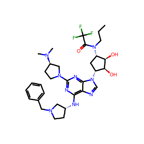 CCCN(C(=O)C(F)(F)F)[C@H]1C[C@@H](n2cnc3c(N[C@@H]4CCN(Cc5ccccc5)C4)nc(N4CC[C@@H](N(C)C)C4)nc32)[C@H](O)[C@@H]1O